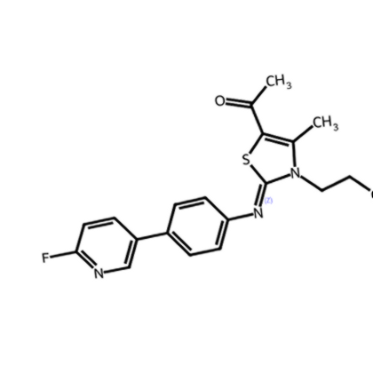 CC(=O)c1s/c(=N\c2ccc(-c3ccc(F)nc3)cc2)n(CCO)c1C